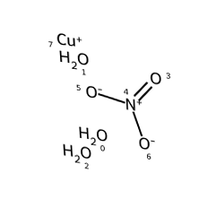 O.O.O.O=[N+]([O-])[O-].[Cu+]